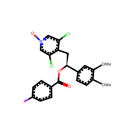 COc1ccc([C@H](Cc2c(Cl)c[n+]([O-])cc2Cl)OC(=O)c2ccc(I)cc2)cc1OC